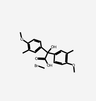 CBr.COc1ccc(C(O)(C(=O)O)c2ccc(OC)c(C)c2)cc1C